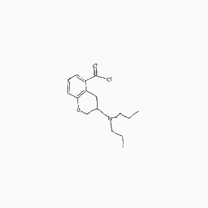 CCCN(CCC)C1COc2cccc(C(=O)Cl)c2C1